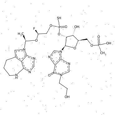 C[C@@H](O[C@@H](F)COP(=O)(S)O[C@@H]1[C@H](O)[C@@H](COP(C)(=O)O)O[C@H]1n1cnc2c(=O)n(CCO)cnc21)n1cc2c3c(ncnc31)NCCC2